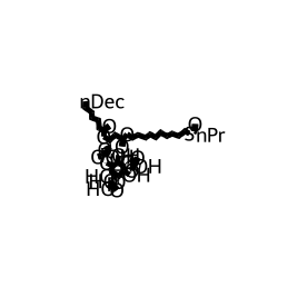 CCCCCCCCCCCCCCCC(=O)O[C@@H](COP(=O)(O)OC1C(O)[C@H](OP(=O)(O)O)C(O)[C@H](OP(=O)(O)O)[C@@H]1O)CC(=O)OCCCCCCCCCCSC(=O)CCC